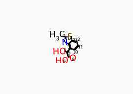 Cc1nc2c(C(O)C(=O)O)cccc2s1